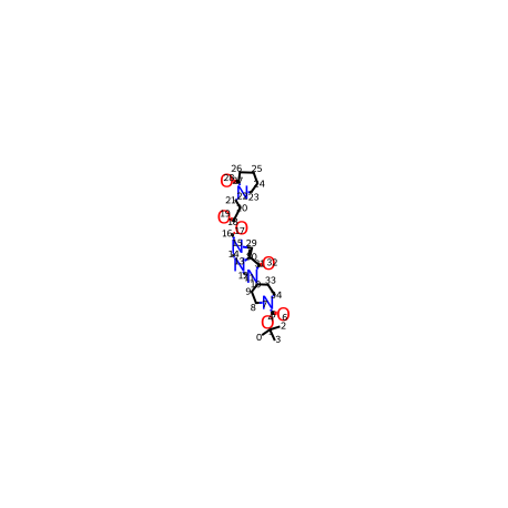 CC(C)(C)OC(=O)N1CCC(N2CN3CN(COC(=O)CCN4CCCCC4=O)C=C3C2=O)CC1